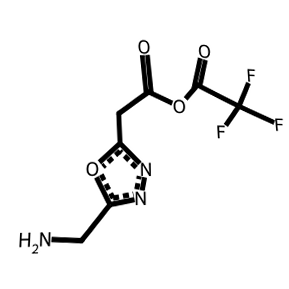 NCc1nnc(CC(=O)OC(=O)C(F)(F)F)o1